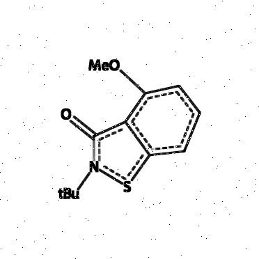 COc1cccc2sn(C(C)(C)C)c(=O)c12